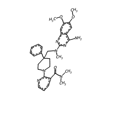 COc1cc2nc(N(C)CC3(c4ccccc4)CCN(c4ncccc4C(=O)N(C)C)CC3)nc(N)c2cc1OC